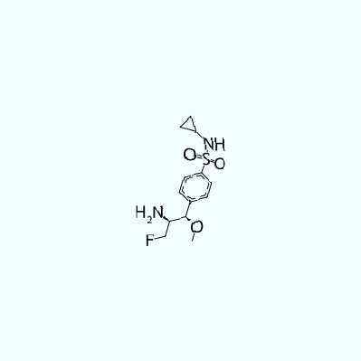 CO[C@H](c1ccc(S(=O)(=O)NC2CC2)cc1)[C@H](N)CF